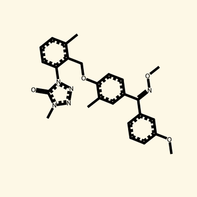 CO/N=C(/c1cccc(OC)c1)c1ccc(OCc2c(C)cccc2-n2nnn(C)c2=O)c(C)c1